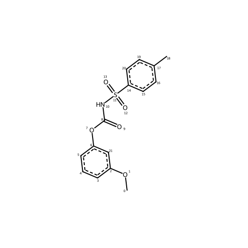 COc1cccc(OC(=O)NS(=O)(=O)c2ccc(C)cc2)c1